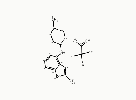 NC1CCC(Nc2cccc3sc(C(F)(F)F)cc23)CC1.O=C(O)C(F)(F)F